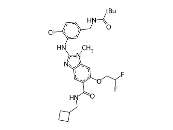 Cn1c(Nc2cc(CNC(=O)C(C)(C)C)ccc2Cl)nc2cc(C(=O)NCC3CCC3)c(OCC(F)F)cc21